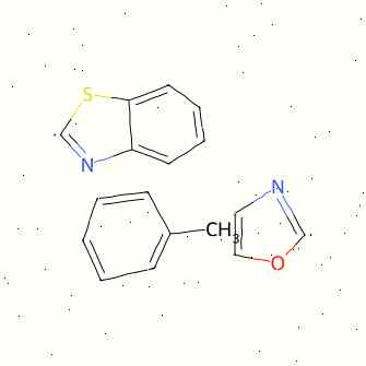 Cc1ccccc1.[c]1nc2ccccc2s1.[c]1ncco1